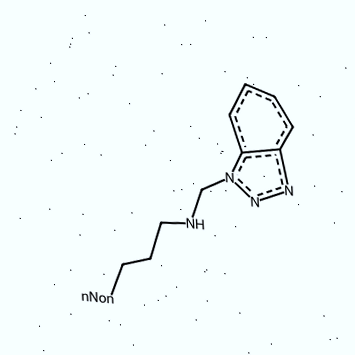 CCCCCCCCCCCCNCn1nnc2ccccc21